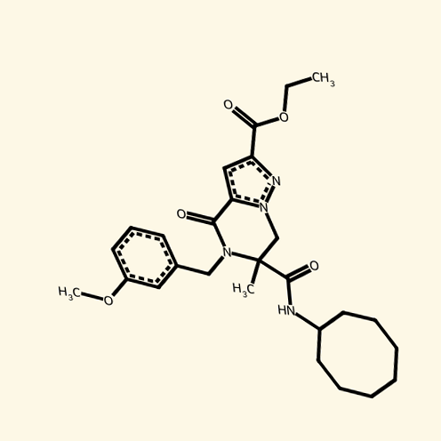 CCOC(=O)c1cc2n(n1)CC(C)(C(=O)NC1CCCCCCC1)N(Cc1cccc(OC)c1)C2=O